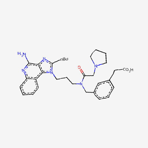 CCCCc1nc2c(N)nc3ccccc3c2n1CCCN(Cc1cccc(CC(=O)O)c1)C(=O)CN1CCCC1